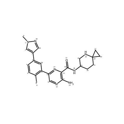 Cn1cc(-c2ccc(F)c(-c3cnc(N)c(C(=O)NC4CCC5(CC5)NC4)n3)c2)cn1